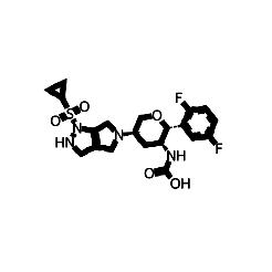 O=C(O)N[C@H]1C[C@@H](N2CC3=C(C2)N(S(=O)(=O)C2CC2)NC3)CO[C@@H]1c1cc(F)ccc1F